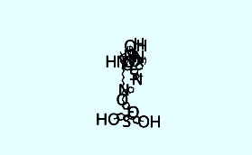 Cc1ncsc1-c1ccc([C@H](C)NC(=O)[C@@H]2C[C@@H](O)CN2C(=O)[C@@H](NC(=O)CCCCCCCN(CCOc2ccc(C(=O)c3c(-c4ccc(O)cc4)sc4cc(O)ccc34)cc2)C2CCCC2)C(C)(C)C)cc1